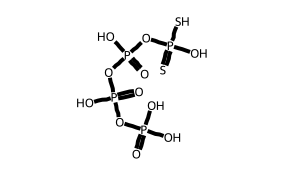 O=P(O)(O)OP(=O)(O)OP(=O)(O)OP(O)(=S)S